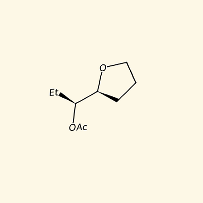 CC[C@H](OC(C)=O)[C@@H]1CCCO1